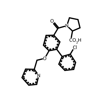 O=C(O)C1CCCN1C(=O)c1ccc(OCc2ccccn2)c(-c2ccccc2Cl)c1